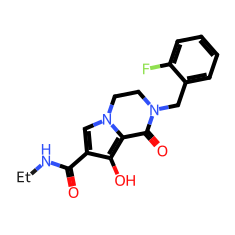 CCNC(=O)c1cn2c(c1O)C(=O)N(Cc1ccccc1F)CC2